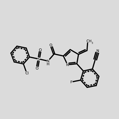 C/C=C1\C=C(C(=O)NS(=O)(=O)c2ccccc2Cl)N=C1c1c(F)cccc1C#N